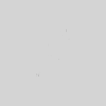 Cc1cc(C#N)cc(Oc2c(Cl)ccc(CC(=O)O)c2F)c1